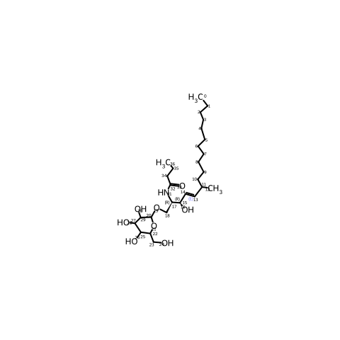 CCCCCCCCCCCC(C)/C=C/[C@@H](O)[C@@H](COC1OC(CO)C(O)C(O)C1O)NC(=O)CCC